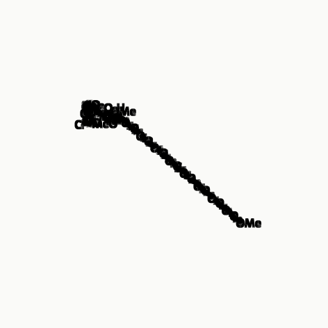 COCCOCCOCCOCCOCCOCCOCCOCCOCCOCCOCCOCCOCCOCCOCCOCCOCc1cc(OC)c(-c2ccc(C[C@H](NC(=O)[C@@H]3CCCN3S(=O)(=O)c3cc(Cl)cc(Cl)c3)C(=O)O)cc2)c(OC)c1